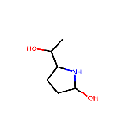 CC(O)C1CCC(O)N1